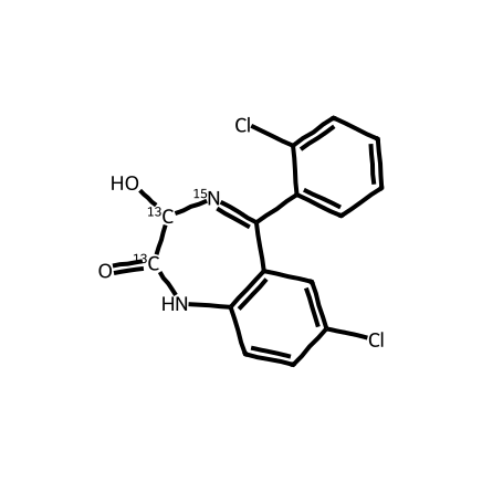 O=[13C]1Nc2ccc(Cl)cc2C(c2ccccc2Cl)=[15N][13CH]1O